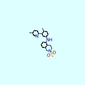 Cc1ccc(-c2cc(Nc3cccc4c3CCN(S(C)(=O)=O)C4)ccc2C)nc1